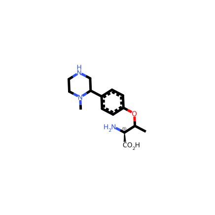 CC(Oc1ccc(C2CNCCN2C)cc1)[C@H](N)C(=O)O